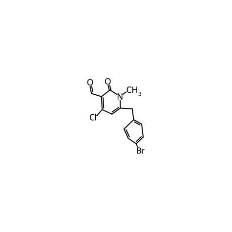 Cn1c(Cc2ccc(Br)cc2)cc(Cl)c(C=O)c1=O